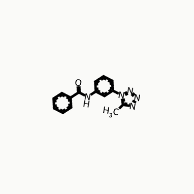 Cc1nnnn1-c1cccc(NC(=O)c2ccccc2)c1